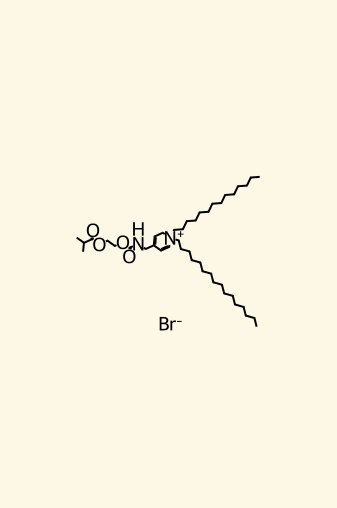 CCCCCCCCCCCCCCCC[N+]1(CCCCCCCCCCCCCC)C=CC(CNC(=O)OCCOC(=O)C(C)C)=CC1.[Br-]